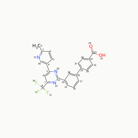 Cc1ccc(-c2cc(C(F)(F)F)nc(-c3cccc(-c4ccc(C(=O)O)cc4)c3)n2)cn1